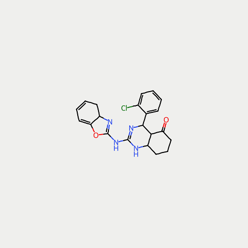 O=C1CCCC2NC(NC3=NC4CC=CC=C4O3)=NC(c3ccccc3Cl)C12